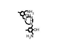 Cc1cc(CN)c(O)c(CN2CCCN(Cc3cc(C)cc(CN)c3O)CCNCC2)c1